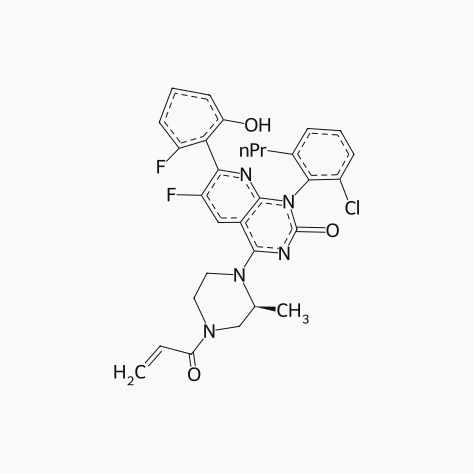 C=CC(=O)N1CCN(c2nc(=O)n(-c3c(Cl)cccc3CCC)c3nc(-c4c(O)cccc4F)c(F)cc23)[C@@H](C)C1